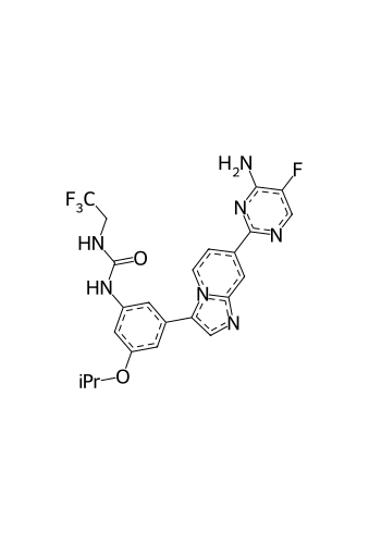 CC(C)Oc1cc(NC(=O)NCC(F)(F)F)cc(-c2cnc3cc(-c4ncc(F)c(N)n4)ccn23)c1